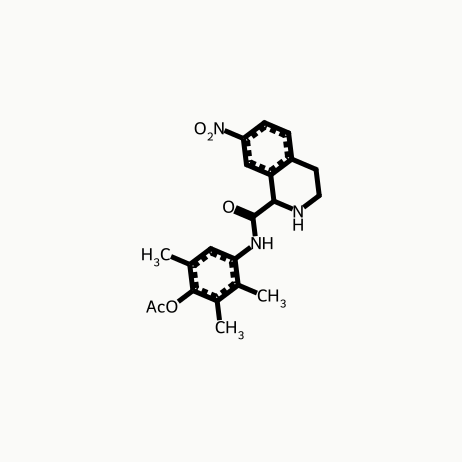 CC(=O)Oc1c(C)cc(NC(=O)C2NCCc3ccc([N+](=O)[O-])cc32)c(C)c1C